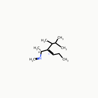 C=N[C@H](C)/C(=C/CC)C(C)C(C)C